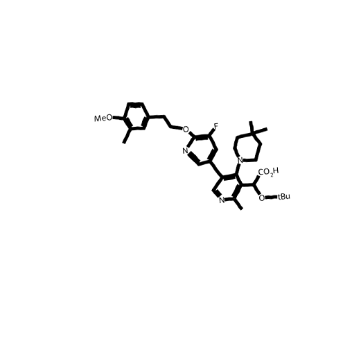 COc1ccc(CCOc2ncc(-c3cnc(C)c(C(OC(C)(C)C)C(=O)O)c3N3CCC(C)(C)CC3)cc2F)cc1C